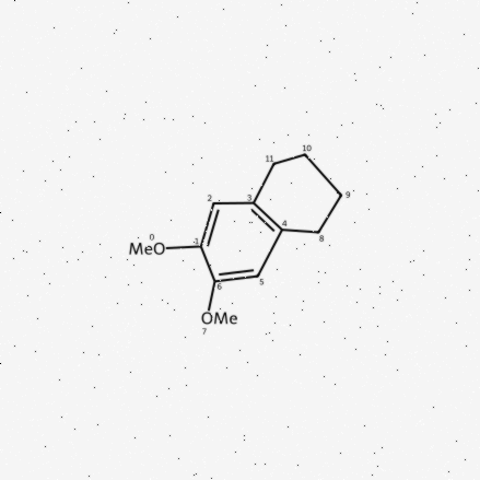 COc1cc2c(cc1OC)CCCC2